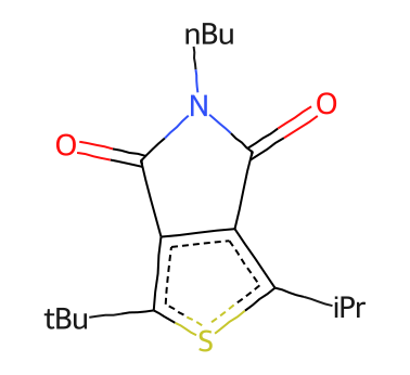 CCCCN1C(=O)c2c(C(C)C)sc(C(C)(C)C)c2C1=O